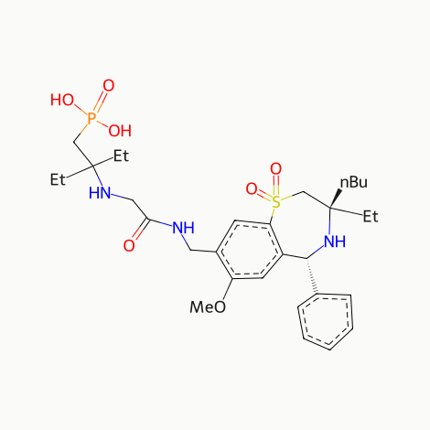 CCCC[C@]1(CC)CS(=O)(=O)c2cc(CNC(=O)CNC(CC)(CC)CP(=O)(O)O)c(OC)cc2[C@@H](c2ccccc2)N1